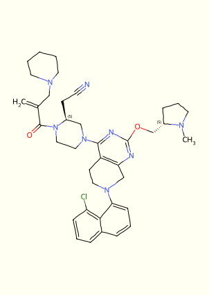 C=C(CN1CCCCC1)C(=O)N1CCN(c2nc(OC[C@@H]3CCCN3C)nc3c2CCN(c2cccc4cccc(Cl)c24)C3)C[C@@H]1CC#N